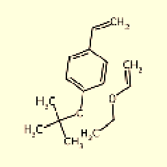 C=COCC.C=Cc1ccc(OC(C)(C)C)cc1